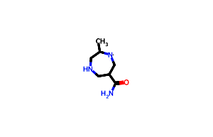 CC1CNCC(C(N)=O)C[N]1